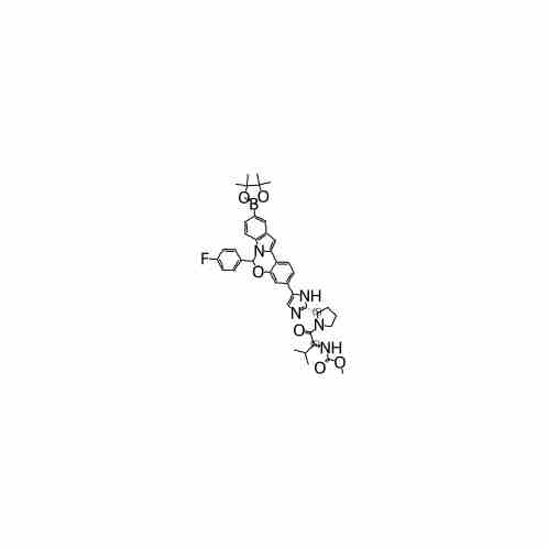 COC(=O)N[C@H](C(=O)N1CCC[C@H]1c1ncc(-c2ccc3c(c2)OC(c2ccc(F)cc2)n2c-3cc3cc(B4OC(C)(C)C(C)(C)O4)ccc32)[nH]1)C(C)C